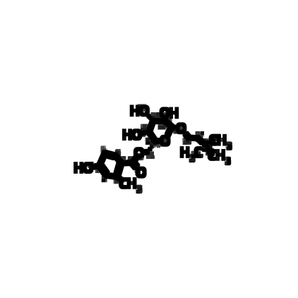 Cc1cc(O)ccc1C(=O)OC[C@H]1O[C@@H](OCC[Si](C)(C)C)[C@H](O)[C@@H](O)[C@@H]1O